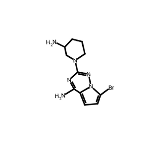 Nc1nc(N2CCCC(N)C2)nn2c(Br)ccc12